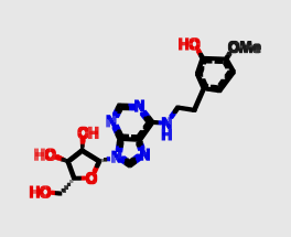 COc1ccc(CCNc2ncnc3c2ncn3[C@@H]2O[C@H](CO)[C@@H](O)[C@H]2O)cc1O